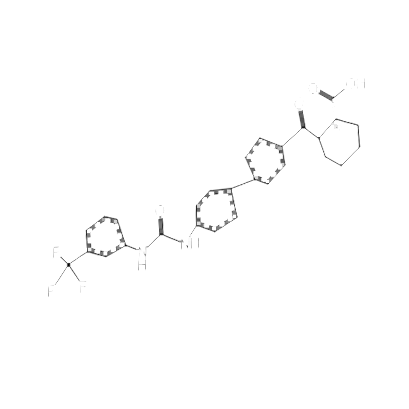 O=C(Nc1ccc(-c2ccc(C(=O)C3CCCC[C@H]3C(=O)O)cc2)cc1)Nc1cccc(C(F)(F)F)c1